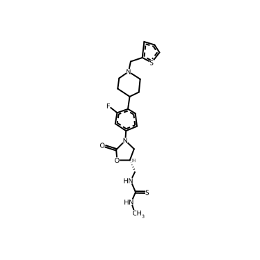 CNC(=S)NC[C@H]1CN(c2ccc(C3CCN(Cc4cccs4)CC3)c(F)c2)C(=O)O1